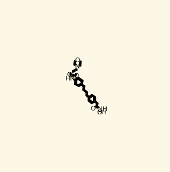 O=C(Cc1ccc(CCCCc2ccc(NS(=O)(=O)CCN3CCOCC3)cc2)cc1)NO